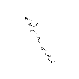 CC(C)CNCCOCCOCCNC(=O)NCC(C)C